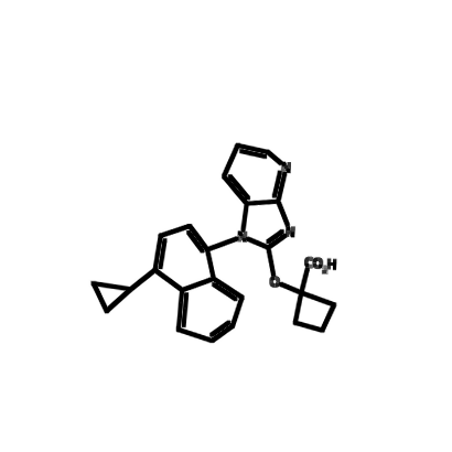 O=C(O)C1(Oc2nc3ncccc3n2-c2ccc(C3CC3)c3ccccc23)CCC1